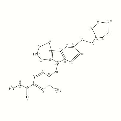 CC1C=C(C(=O)NO)C=CC1Cn1c2c(c3cc(CCN4CCOCC4)ccc31)CCNC2